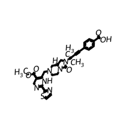 COC(=O)C1=C(CN2CCN3C(=O)N(C(C)(C)C#Cc4ccc(C(=O)O)cc4)C[C@@H]3C2)NC(c2nccs2)=NC1